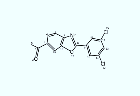 CC(=O)c1ccc2nc(-c3cc(Cl)cc(Cl)c3)oc2c1